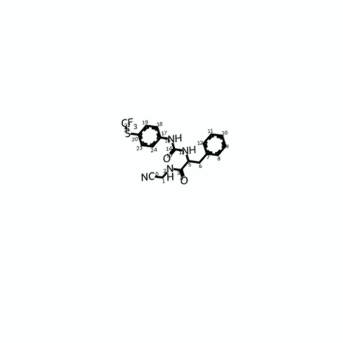 N#CCNC(=O)C(Cc1ccccc1)NC(=O)Nc1ccc(SC(F)(F)F)cc1